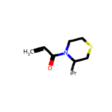 C=CC(=O)N1CCSCC1C(C)C